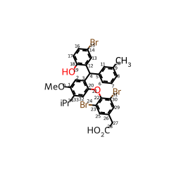 COc1cc(C(c2cccc(C)c2)c2cc(Br)ccc2O)c(Oc2c(Br)cc(CC(=O)O)cc2Br)cc1C(C)C